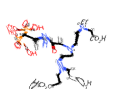 CCN(CCN(CCN(CCC(=O)O)CC(=O)O)CC(=O)NCC(P(=O)(O)O)P(=O)(O)O)CC(=O)O